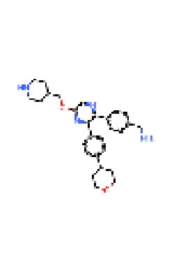 NCc1ccc(-c2ncc(OCC3CCNCC3)nc2-c2ccc(C3CCOCC3)cc2)cc1